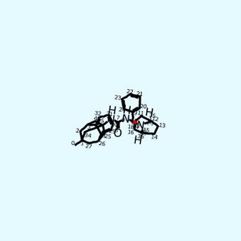 CC12CC3CC(NC(=O)NC4C[C@H]5CC[C@@H](C4)N5Cc4ccccc4)(CC(C1)c1ccccc13)C2